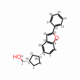 OC[C@H]1CC[C@@H](c2ccc3oc(-c4ccccc4)cc3c2)C1